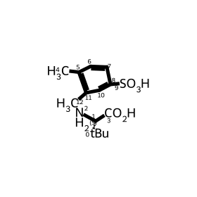 CC(C)(C)[C@H](N)C(=O)O.Cc1ccc(S(=O)(=O)O)cc1C